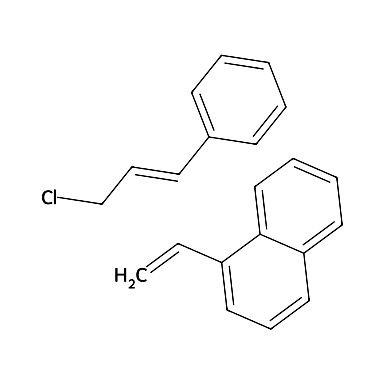 C=Cc1cccc2ccccc12.ClCC=Cc1ccccc1